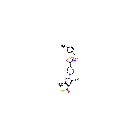 Cc1ccc(CS(=O)(=O)NC(=O)C2CCN(c3nc(C)c(C(=O)S)cc3C#N)CC2)cc1